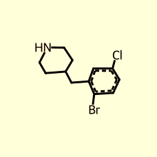 Clc1ccc(Br)c(CC2CCNCC2)c1